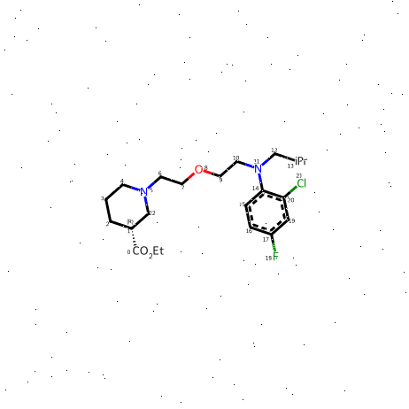 CCOC(=O)[C@@H]1CCCN(CCOCCN(CC(C)C)c2ccc(F)cc2Cl)C1